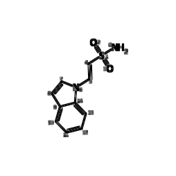 NS(=O)(=O)C=Cn1ccc2ccccc21